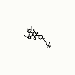 CCc1ccc(-c2c(Cl)c(-c3ccc(OCCCC(F)(F)F)cc3)[nH]c(=O)c2-c2nnn[nH]2)s1